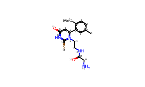 COc1ccc(C)cc1-c1cc(=O)[nH]c(=S)n1CCNC(=O)CN